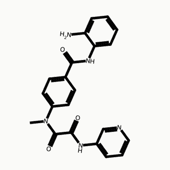 CN(C(=O)C(=O)Nc1cccnc1)c1ccc(C(=O)Nc2ccccc2N)cc1